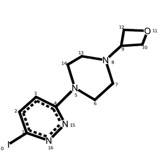 Ic1ccc(N2CCN(C3COC3)CC2)nn1